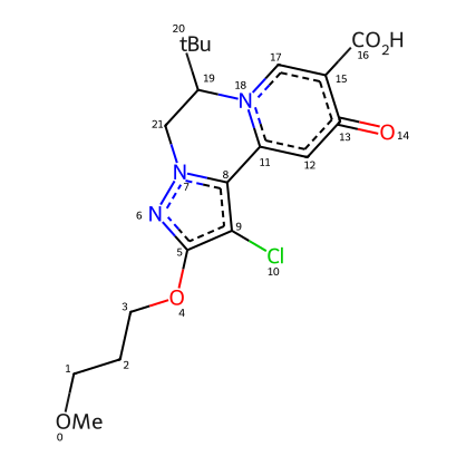 COCCCOc1nn2c(c1Cl)-c1cc(=O)c(C(=O)O)cn1C(C(C)(C)C)C2